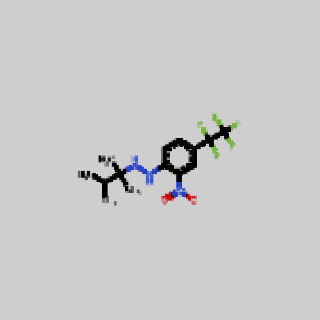 CC(C)C(C)(C)NNc1ccc(C(F)(F)C(F)(F)F)cc1[N+](=O)[O-]